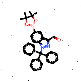 CC1(C)OB(c2ccc3c(c2)c(C=O)nn3C(c2ccccc2)(c2ccccc2)c2ccccc2)OC1(C)C